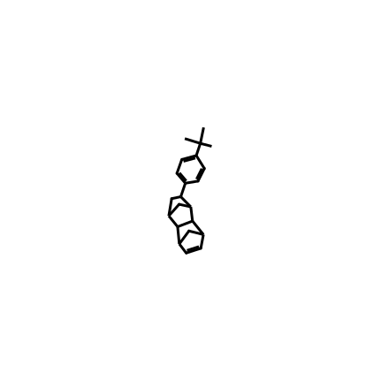 CC(C)(C)c1ccc(C2CC3CC2C2C4C=CC(C4)C32)cc1